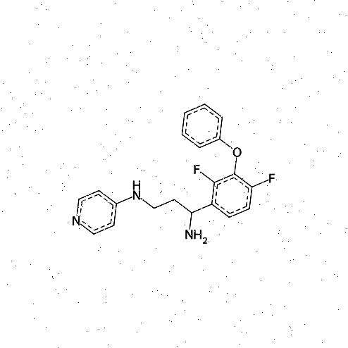 NC(CCNc1ccncc1)c1ccc(F)c(Oc2ccccc2)c1F